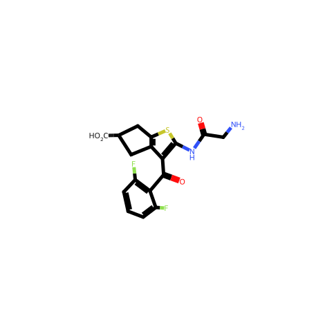 NCC(=O)Nc1sc2c(c1C(=O)c1c(F)cccc1F)CC(C(=O)O)C2